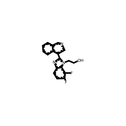 OCCn1c(-c2cncc3ccccc23)nc2ccc(F)c(F)c21